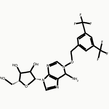 NC1c2ncn([C@@H]3O[C@H](CO)C(O)C3O)c2N=CN1OCc1cc(C(F)(F)F)cc(C(F)(F)F)c1